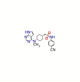 CN(c1ncnc2[nH]ccc12)[C@H]1CC[C@H](CS(=O)(=O)Nc2ccc(C#N)cc2)CC1